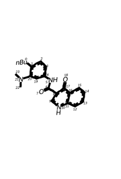 CCCCc1ccc(NC(=O)c2c[nH]c3ccccc3c2=O)cc1N(C)C